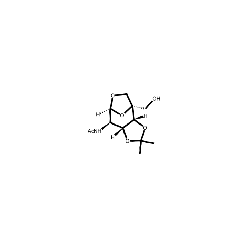 CC(=O)N[C@H]1[C@H]2OC[C@](CO)(O2)[C@@H]2OC(C)(C)O[C@H]12